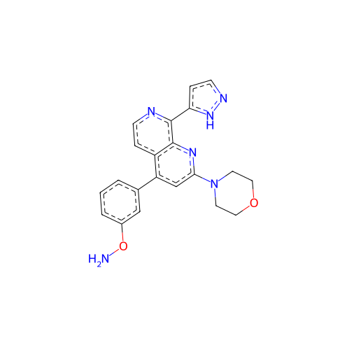 NOc1cccc(-c2cc(N3CCOCC3)nc3c(-c4ccn[nH]4)nccc23)c1